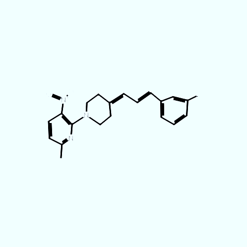 Cc1ccc([N+](=O)[O-])c(N2CCC(=CC=Cc3cccc(F)c3)CC2)n1